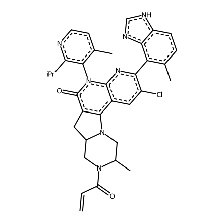 C=CC(=O)N1CC2Cc3c(c4cc(Cl)c(-c5c(C)ccc6[nH]cnc56)nc4n(-c4c(C)ccnc4C(C)C)c3=O)N2CC1C